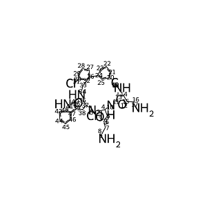 CN1C(=O)C(CCCCN)NC(=O)C(CCCN)NCc2cccc(c2)-c2cccc(Cl)c2CNC(=O)C1Cc1c[nH]c2ccccc12